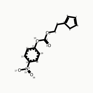 O=C(OCCC1=CC=CC1)Oc1ccc([N+](=O)[O-])cc1